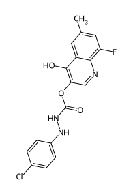 Cc1cc(F)c2ncc(OC(=O)NNc3ccc(Cl)cc3)c(O)c2c1